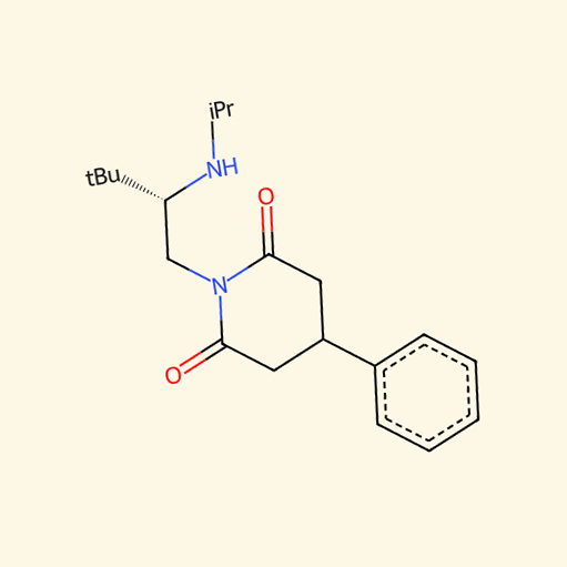 CC(C)N[C@H](CN1C(=O)CC(c2ccccc2)CC1=O)C(C)(C)C